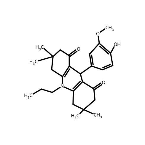 CCCN1C2=C(C(=O)CC(C)(C)C2)C(c2ccc(O)c(OC)c2)C2=C1CC(C)(C)CC2=O